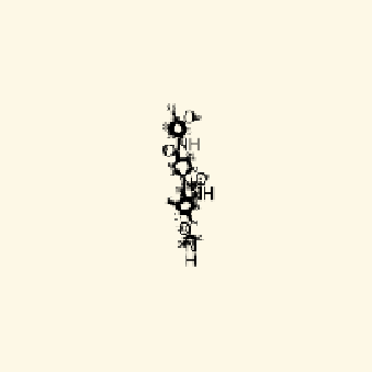 COc1cc(NC(=O)C2CCC(N3Cc4c(C)cc(COC5CNC5)cc4NC3=O)CC2)ccc1C